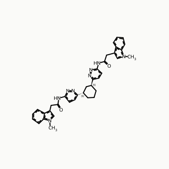 Cn1cc(CC(=O)Nc2ccc([C@H]3CCC[C@H](c4ccc(NC(=O)Cc5cn(C)c6ccccc56)nn4)C3)nn2)c2ccccc21